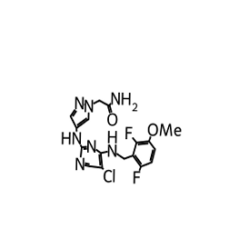 COc1ccc(F)c(CNc2nc(Nc3cnn(CC(N)=O)c3)ncc2Cl)c1F